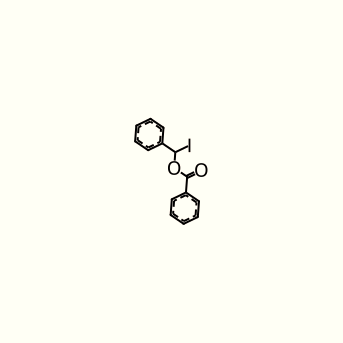 O=C(OC(I)c1ccccc1)c1ccccc1